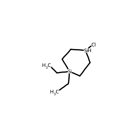 CC[Si]1(CC)CC[SiH](Cl)CC1